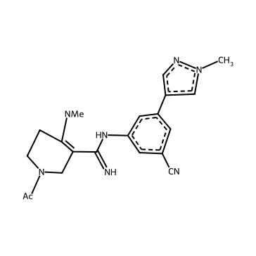 CNC1=C(C(=N)Nc2cc(C#N)cc(-c3cnn(C)c3)c2)CN(C(C)=O)CC1